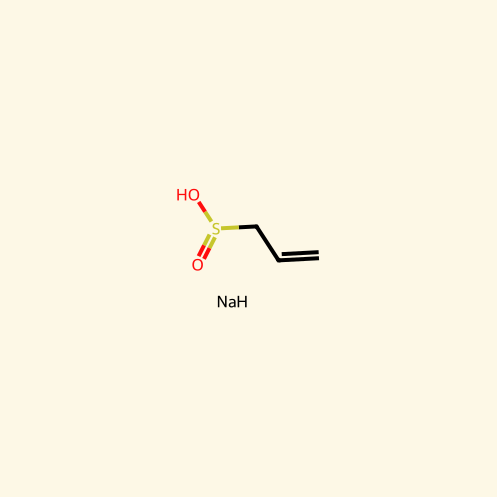 C=CCS(=O)O.[NaH]